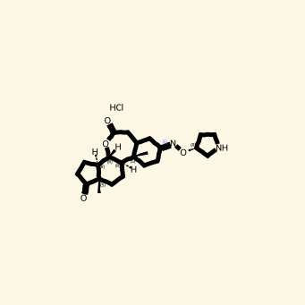 C[C@]12CC/C(=N\O[C@@H]3CCNC3)CC1CC(=O)O[C@@H]1[C@@H]2CC[C@]2(C)C(=O)CC[C@@H]12.Cl